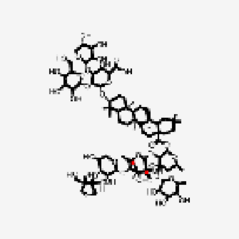 CC[C@H](C)C(=O)O[C@]1(O[C@@H]2OC(C)[C@@H](O)C(O)C2O)CC(C)O[C@@H](OC(=O)[C@]23CCC(C)(C)CC2C2=CCC4[C@@]5(C)CC[C@H](O[C@@H]6OC(C(=O)O)[C@H](O)C(O[C@@H]7OC[C@@H](O)C(O)C7O)[C@@H]6O[C@@H]6OC(CO)[C@H](O)C(O)C6O)C(C)(C)C5CC[C@@]4(C)[C@]2(C)CC3)C1O[C@@H]1OC(C)[C@H](O[C@H]2OCC(O)[C@H](OC3(O)COCC3(O)CO)C2O)C(O)C1O